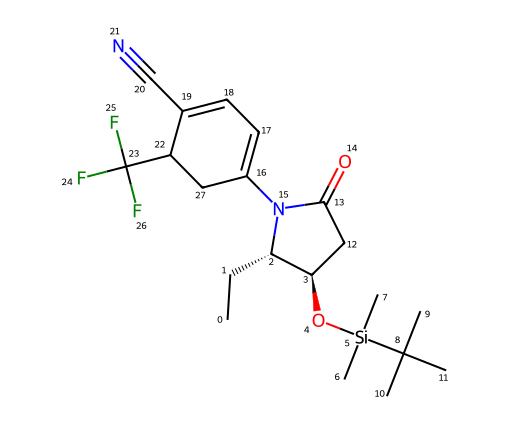 CC[C@H]1[C@H](O[Si](C)(C)C(C)(C)C)CC(=O)N1C1=CC=C(C#N)C(C(F)(F)F)C1